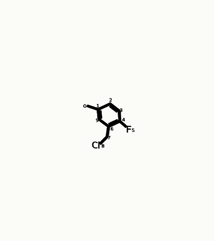 Cc1ccc(F)c(CCl)c1